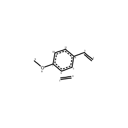 C=C.C=Cc1ccc(OC)cc1